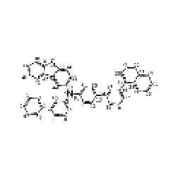 c1ccc(-c2cccc(N(c3ccc(-c4cccc(-c5cccc6ccccc56)c4)cc3)c3ccc4sc5ccccc5c4c3)c2)cc1